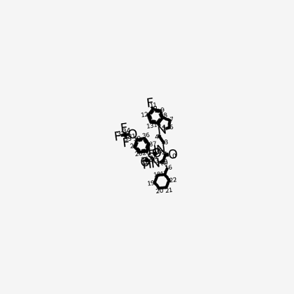 O=C(NCCN1CCc2cc(F)ccc21)[C@H](CC1CCCCC1)NS(=O)(=O)c1ccc(OC(F)(F)F)cc1